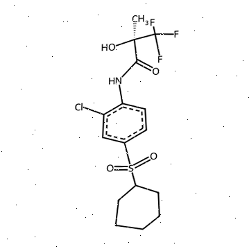 C[C@@](O)(C(=O)Nc1ccc(S(=O)(=O)C2CCCCC2)cc1Cl)C(F)(F)F